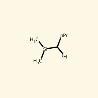 [3H]C(CCC)[Si](C)C